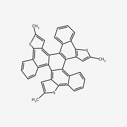 Cc1cc2c(s1)c1ccccc1c1c2c2c3ccccc3c3sc(C)cc3c2c2c3ccccc3c3sc(C)cc3c12